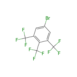 FC(F)(F)c1cc(Br)cc(C(F)(F)F)c1C(F)(F)F